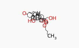 CCCCCOC(=O)O[C@]1(C(=O)CO)CC[C@H]2[C@@H]3CCC4=CC(=O)CC[C@]4(C)[C@H]3[C@@H](O)C[C@@]21C